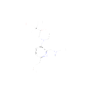 CN(C)Cc1nc(CSS)ccc1N1CCOC(C(C)(C)O)C1